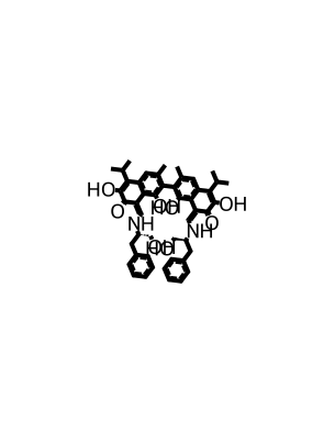 Cc1cc2c(c(O)c1-c1c(C)cc3c(c1O)C(=CN[C@H](CO)Cc1ccccc1)C(=O)C(O)=C3C(C)C)C(=CN[C@H](CO)Cc1ccccc1)C(=O)C(O)=C2C(C)C